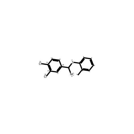 [C-]#[N+]C(Sc1ccccc1C)c1ccc(Cl)c(Cl)c1